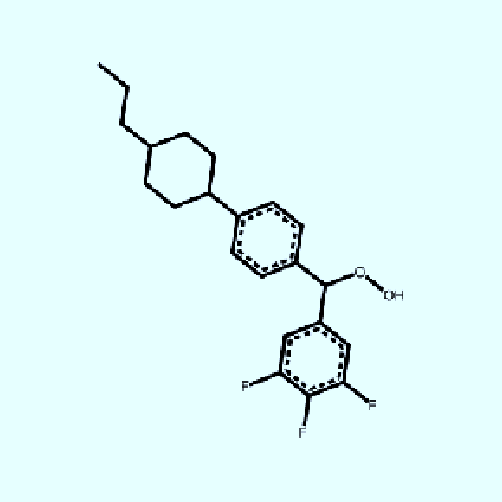 CCCC1CCC(c2ccc(C(OO)c3cc(F)c(F)c(F)c3)cc2)CC1